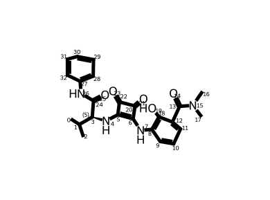 CC(C)[C@H](Nc1c(Nc2cccc(C(=O)N(C)C)c2O)c(=O)c1=O)C(=O)Nc1ccccc1